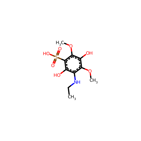 CCNc1c(O)c(S(=O)(=O)O)c(OC)c(O)c1OC